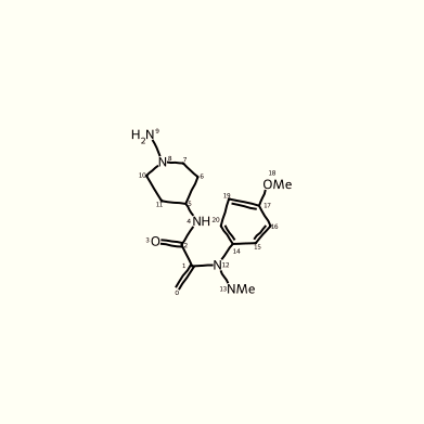 C=C(C(=O)NC1CCN(N)CC1)N(NC)c1ccc(OC)cc1